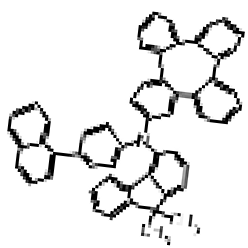 CC1(C)c2ccccc2-c2c(N(c3ccc(-c4cccc5ccccc45)cc3)c3ccc4c(c3)-c3ccccc3-c3ccccc3-c3ccccc3-4)cccc21